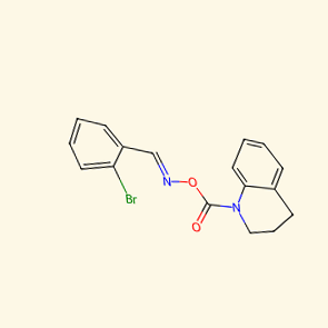 O=C(ON=Cc1ccccc1Br)N1CCCc2ccccc21